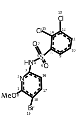 COc1nc(NS(=O)(=O)c2cccc(Cl)c2Cl)ccc1Br